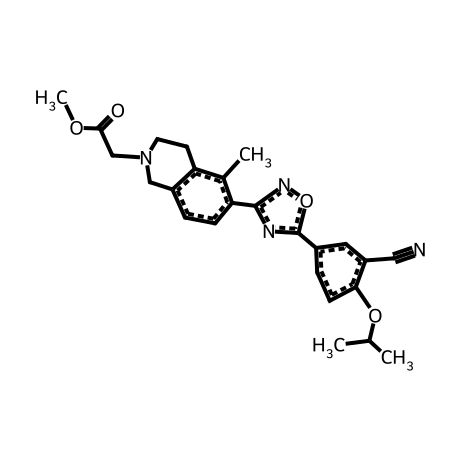 COC(=O)CN1CCc2c(ccc(-c3noc(-c4ccc(OC(C)C)c(C#N)c4)n3)c2C)C1